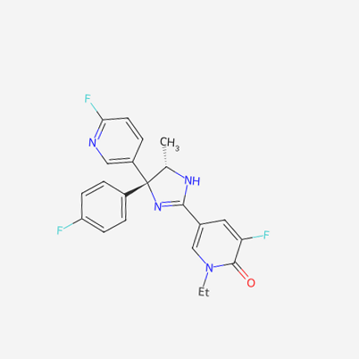 CCn1cc(C2=N[C@](c3ccc(F)cc3)(c3ccc(F)nc3)[C@H](C)N2)cc(F)c1=O